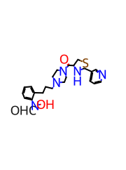 O=CN(O)c1ccccc1CCCN1CCN(C(=O)C2CSC(c3cccnc3)N2)CC1